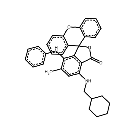 Cc1cc(NCC2CCCCC2)c2c(c1Nc1ccccc1)C1(OC2=O)c2ccccc2Oc2ccccc21